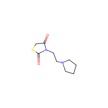 O=C1CSC(=O)N1CCN1CCCC1